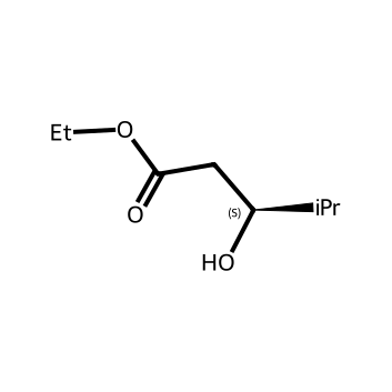 CCOC(=O)C[C@H](O)C(C)C